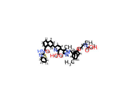 Cc1c(-c2ccc(-c3ccc4cccc(C(=O)Nc5nc6ccccc6s5)c4c3)nc2C(=O)O)cnn1CC12CC3CC(C)(C1)CC(OCCN(C)C(=O)O)(C3)C2